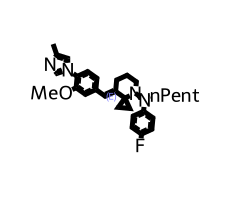 CCCCCN(c1ccc(F)cc1)N1CCC/C(=C\c2ccc(-n3cnc(C)c3)c(OC)c2)C12CC2